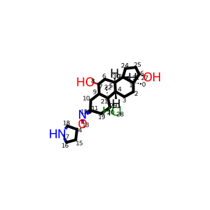 C[C@]12CC[C@H]3[C@@H](C[C@H](O)C4C/C(=N/O[C@@H]5CCNC5)CC[C@@]43C)[C@@H]1CC[C@@H]2O.Cl